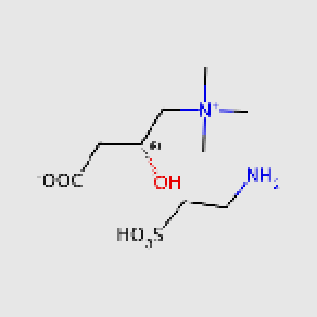 C[N+](C)(C)C[C@H](O)CC(=O)[O-].NCCS(=O)(=O)O